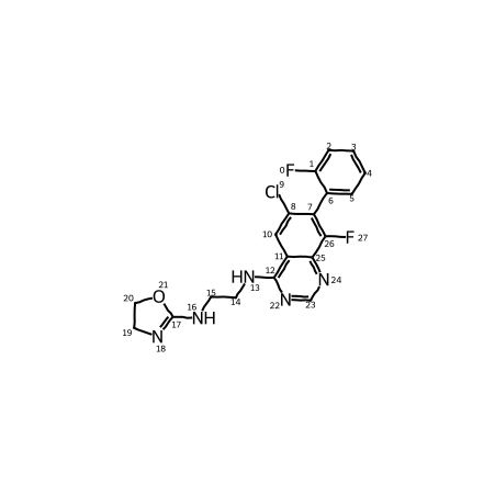 Fc1ccccc1-c1c(Cl)cc2c(NCCNC3=NCCO3)ncnc2c1F